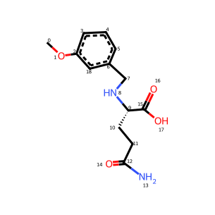 COc1cccc(CN[C@@H](CCC(N)=O)C(=O)O)c1